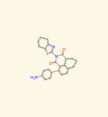 Nc1ccc(-c2ccc3cccc4c3c2C(=O)N(c2nc3ccccc3s2)C4=O)cc1